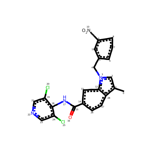 Cc1cn(Cc2cccc([N+](=O)[O-])c2)c2cc(C(=O)Nc3c(Cl)cncc3Cl)ccc12